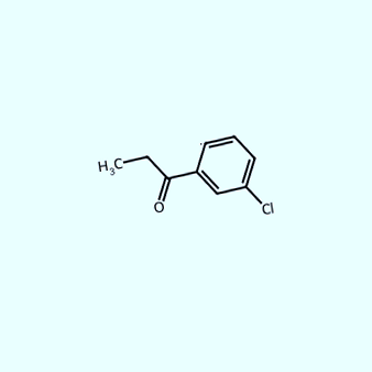 CCC(=O)c1[c]ccc(Cl)c1